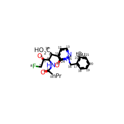 CCCC(=O)NC(C(=O)CF)C(C(=O)O)c1ccnn(Cc2ccccc2C(C)(C)C)c1=O